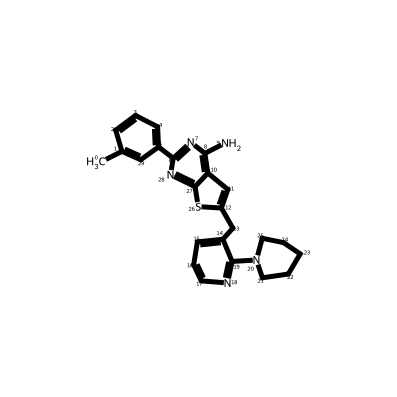 Cc1cccc(-c2nc(N)c3cc(Cc4cccnc4N4CCCCC4)sc3n2)c1